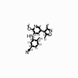 COc1ncc(-c2c(C)noc2C)cc1Nc1cc(C#N)ccc1C